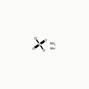 O=S(=O)([O-])[O-].[Mo+].[NH4+]